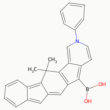 CC1(C)C2=c3ccccc3=CC2=Cc2c(B(O)O)c3ccn(-c4ccccc4)cc-3c21